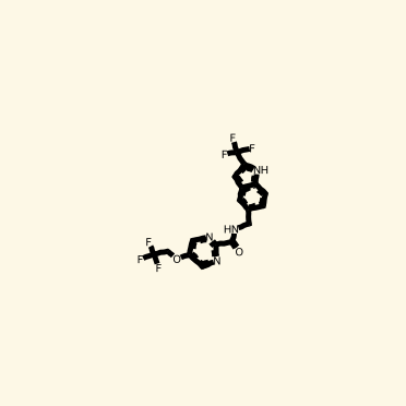 O=C(NCc1ccc2[nH]c(C(F)(F)F)cc2c1)c1ncc(OCC(F)(F)F)cn1